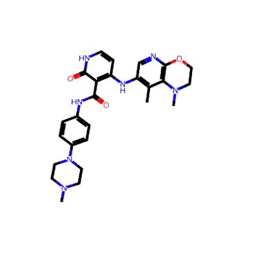 Cc1c(Nc2cc[nH]c(=O)c2C(=O)Nc2ccc(N3CCN(C)CC3)cc2)cnc2c1N(C)CCO2